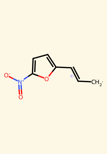 [CH2]/C=C/c1ccc([N+](=O)[O-])o1